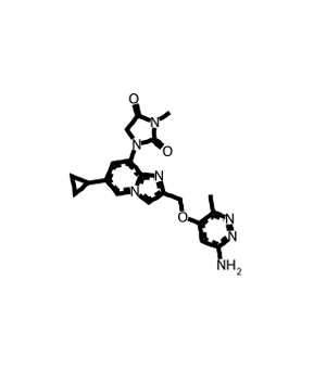 Cc1nnc(N)cc1OCc1cn2cc(C3CC3)cc(N3CC(=O)N(C)C3=O)c2n1